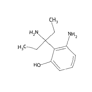 CCC(N)(CC)c1c(N)cccc1O